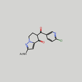 CC(=O)Nc1cc2n(n1)CCC(C(=O)c1ccc(Cl)nc1)C2=O